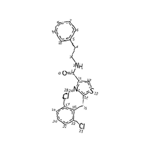 O=C(NCCc1ccccc1)c1csc(Cc2c(Cl)cccc2Cl)n1